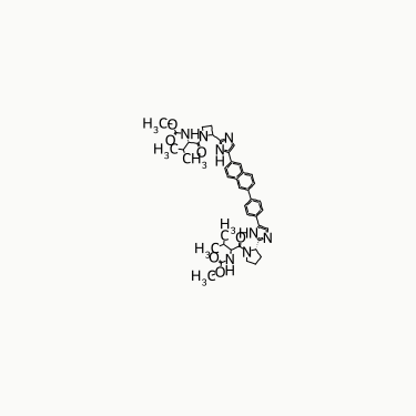 COC(=O)N[C@H](C(=O)N1CCC1c1ncc(-c2ccc3cc(-c4ccc(-c5cnc([C@@H]6CCCN6C(=O)[C@@H](NC(=O)OC)C(C)C)[nH]5)cc4)ccc3c2)[nH]1)C(C)C